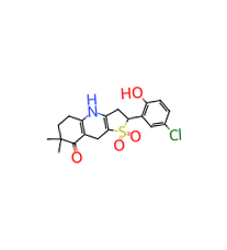 CC1(C)CCC2=C(CC3=C(CC(c4cc(Cl)ccc4O)S3(=O)=O)N2)C1=O